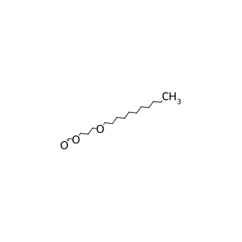 CCCCCCCCCCCOCCCOC=O